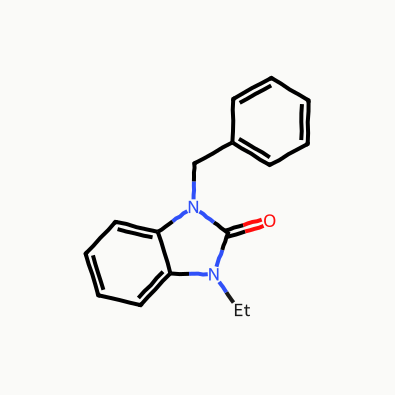 CCn1c(=O)n(Cc2ccccc2)c2ccccc21